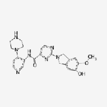 COc1cc2c(cc1O)CN(c1nccc(C(=O)Nc3cnccc3N3CCNCC3)n1)C2